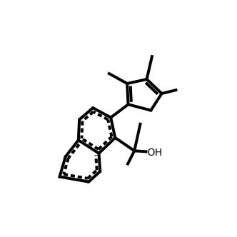 CC1=C(C)C(C)=C(c2ccc3ccccc3c2C(C)(C)O)C1